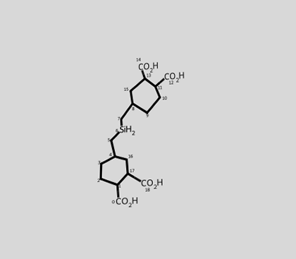 O=C(O)C1CCC(C[SiH2]CC2CCC(C(=O)O)C(C(=O)O)C2)CC1C(=O)O